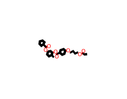 C=CC(=O)OCCCCOc1ccc(C(=O)Oc2cc(OC(=O)c3ccccc3)ccc2C)cc1